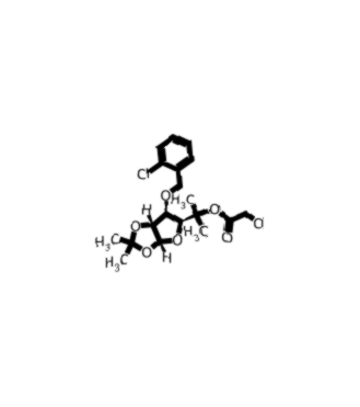 CC1(C)O[C@H]2O[C@H](C(C)(C)OC(=O)CCl)[C@H](OCc3ccccc3Cl)[C@H]2O1